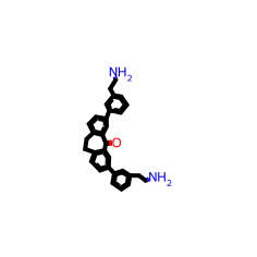 NCCc1cccc(-c2ccc3c(c2)C(=O)c2cc(-c4cccc(CCN)c4)ccc2CC3)c1